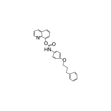 O=C(Nc1ccc(OCCCc2ccccc2)cc1)Oc1cccc2cccnc12